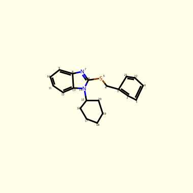 c1ccc(CSc2nc3ccccc3n2C2CCCCC2)cc1